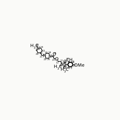 COc1cc(C)c(S(=O)(=O)N(C)CCOCC(=O)N2CCN(CC3CCN(C)CC3)CC2)c(C)c1